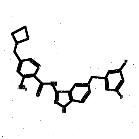 O=C(Nc1n[nH]c2ccc(Cc3cc(F)cc(F)c3)cc12)c1ccc(CN2CCC2)cc1[N+](=O)[O-]